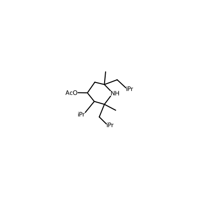 CC(=O)OC1CC(C)(CC(C)C)NC(C)(CC(C)C)C1C(C)C